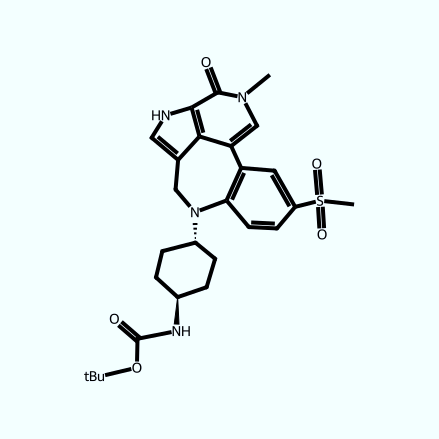 Cn1cc2c3c(c[nH]c3c1=O)CN([C@H]1CC[C@H](NC(=O)OC(C)(C)C)CC1)c1ccc(S(C)(=O)=O)cc1-2